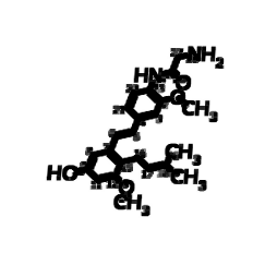 COc1cc(C=Cc2cc(O)cc(OC)c2CC=C(C)C)ccc1NC(=O)CN